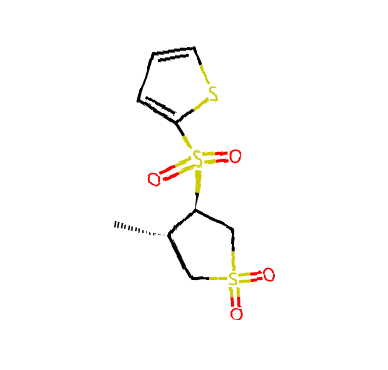 C[C@H]1CS(=O)(=O)C[C@@H]1S(=O)(=O)c1cccs1